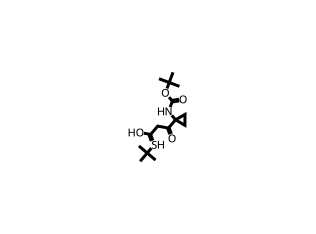 CC(C)(C)OC(=O)NC1(C(=O)CC(O)=[SH]C(C)(C)C)CC1